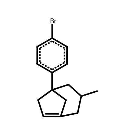 CC1CC2=CCC(c3ccc(Br)cc3)(C2)C1